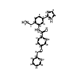 NCc1ccc(-c2ncc[nH]2)cc1NC(=O)c1ccc(OCc2ccccn2)cn1